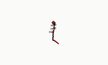 CCCCCCCC/C=C\CCCCCCCC(O)CCCNC(=O)CCNC(=O)C1OC(C)(C)OCC1(C)C